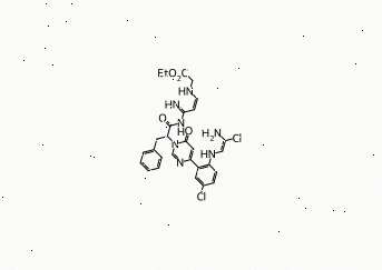 CCOC(=O)CN/C=C\C(=N)NC(=O)C(Cc1ccccc1)n1cnc(-c2cc(Cl)ccc2N/C=C(\N)Cl)cc1=O